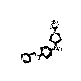 CC(C)(C)OC(=O)N1CCC(Nc2ccc(OCc3ccncc3)cc2)CC1